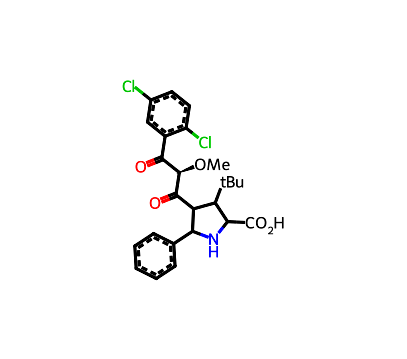 CO[C@H](C(=O)c1cc(Cl)ccc1Cl)C(=O)C1C(c2ccccc2)NC(C(=O)O)C1C(C)(C)C